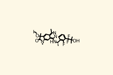 Cc1nnc(N[C@H](C)c2cccc(C(F)(F)C(C)(C)O)c2F)c2cc3c(cc12)C(C)(OCI)C(=O)N3C